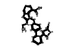 CCOc1nc2cccc(C(=O)O)c2n1Cc1ccc(-c2ccccc2-c2nc(=S)s[nH]2)cc1